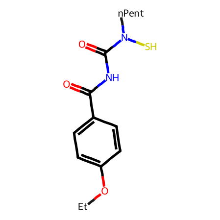 CCCCCN(S)C(=O)NC(=O)c1ccc(OCC)cc1